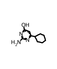 Nc1nc(O)cc(C2CCCCC2)n1